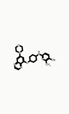 Cc1nc(NC2CCC(Oc3cc(N4CCOCC4)cc4nccnc34)CC2)ccc1C#N